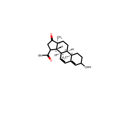 COC1C=C2C=C[C@@H]3[C@@H](CC[C@]4(C)C(=O)CC(C(=O)C(C)(C)C)[C@@H]34)[C@@]2(C)CC1